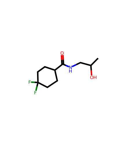 CC(O)CNC(=O)C1CCC(F)(F)CC1